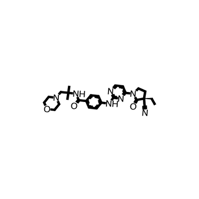 CC[C@]1(C#N)CCN(c2ccnc(Nc3ccc(C(=O)NC(C)(C)CN4CCOCC4)cc3)n2)C1=O